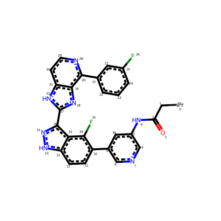 CC(C)CC(=O)Nc1cncc(-c2ccc3[nH]nc(-c4nc5c(-c6cccc(F)c6)nccc5[nH]4)c3c2F)c1